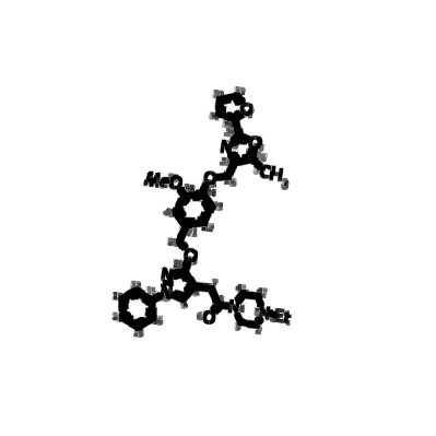 CCN1CCN(C(=O)Cc2cn(-c3ccccc3)nc2OCc2ccc(OCc3nc(-c4ccco4)oc3C)c(OC)c2)CC1